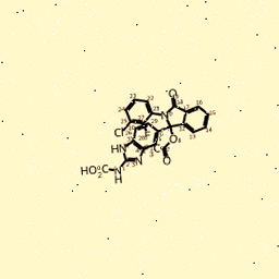 O=C(O)Nc1nc2cc(C3(OC(=O)C(F)(F)F)c4ccccc4C(=O)N3c3cccc(Cl)c3F)ccc2[nH]1